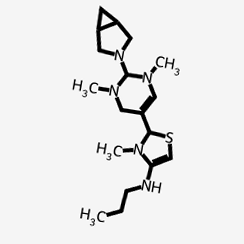 CCCNC1=CSC(C2=CN(C)C(N3CC4CC4C3)N(C)C2)N1C